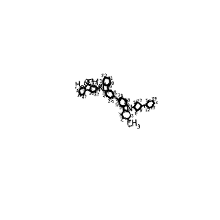 CC1C=Cc2c(n(-c3ccc(-c4ccccc4)cc3)c3ccc(-c4ccc5c(c4)c4ccccc4n5-c4ccc5c(c4)C(C)(C)c4ccccc4-5)cc23)C1